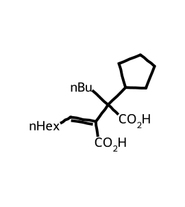 CCCCCCC=C(C(=O)O)C(CCCC)(C(=O)O)C1CCCC1